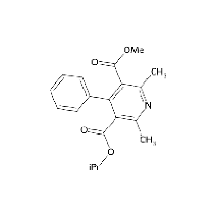 COC(=O)c1c(C)nc(C)c(C(=O)OC(C)C)c1-c1ccccc1